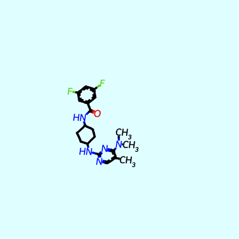 Cc1cnc(NC2CCC(NC(=O)c3cc(F)cc(F)c3)CC2)nc1N(C)C